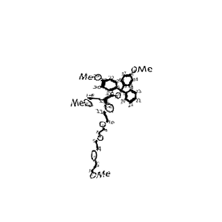 COCCOCCOCCOCCO[C@@H](COC)COC(c1ccccc1)(c1ccc(OC)cc1)c1ccc(OC)cc1